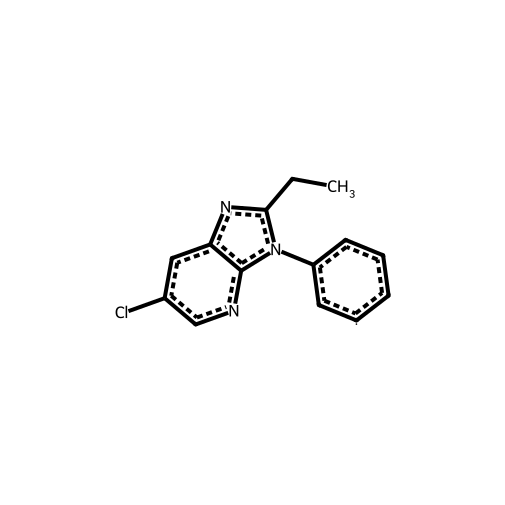 CCc1nc2cc(Cl)cnc2n1-c1c[c]ccc1